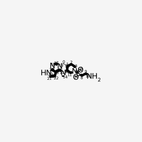 C[C@@H]1CCN(S(=O)(=O)CCN)C[C@@H]1N(C)c1ncnc2[nH]ccc12